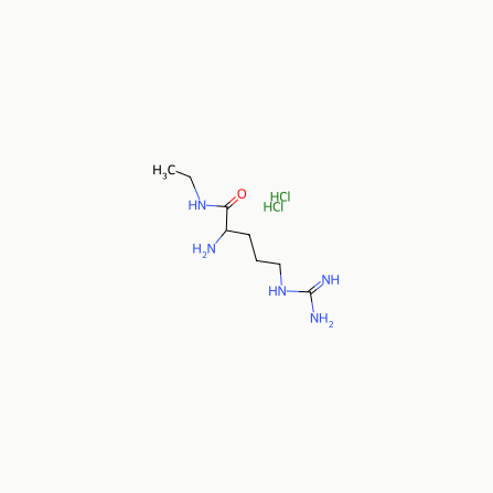 CCNC(=O)C(N)CCCNC(=N)N.Cl.Cl